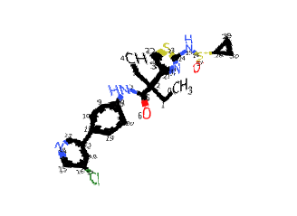 CCC(CC)(C(=O)Nc1ccc(-c2cncc(Cl)c2)cc1)c1csc(N[S+]([O-])C2CC2)n1